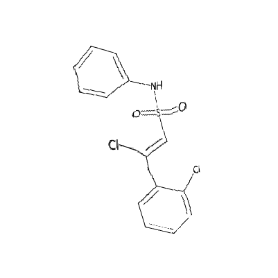 O=S(=O)(C=C(Cl)c1ccccc1Cl)Nc1ccccc1